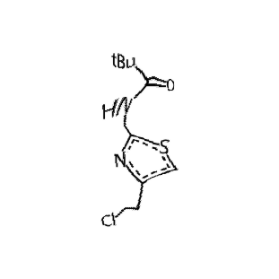 CC(C)(C)C(=O)Nc1nc(CCl)cs1